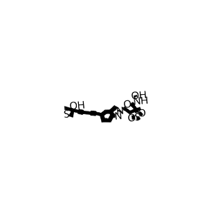 CC(CCn1cc2cc(C#CC#CC3(O)CSC3)ccc2n1)(C(=O)NO)S(C)(=O)=O